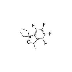 CC[Si]1(CC)OC(C)c2c(F)c(F)c(F)c(F)c21